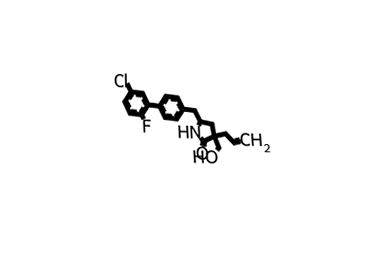 C=CCC1(CO)CC(Cc2ccc(-c3cc(Cl)ccc3F)cc2)NC1=O